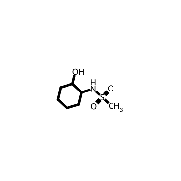 CS(=O)(=O)NC1CCCCC1O